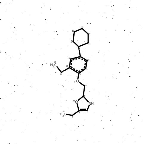 CCC1=CNC(COc2ccc(C3CCCCC3)cc2CC)O1